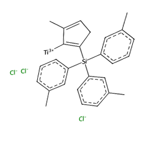 CC1=CCC([Si](c2cccc(C)c2)(c2cccc(C)c2)c2cccc(C)c2)=[C]1[Ti+3].[Cl-].[Cl-].[Cl-]